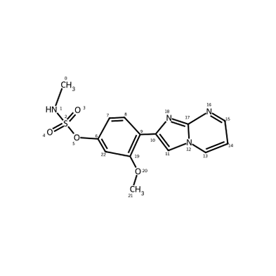 CNS(=O)(=O)Oc1ccc(-c2cn3cccnc3n2)c(OC)c1